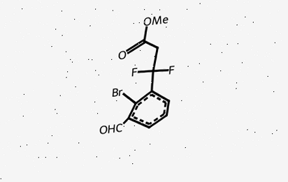 COC(=O)CC(F)(F)c1cccc(C=O)c1Br